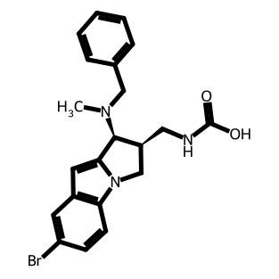 CN(Cc1ccccc1)[C@@H]1c2cc3cc(Br)ccc3n2C[C@@H]1CNC(=O)O